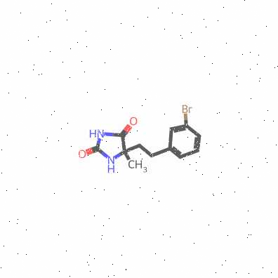 CC1(CCc2cccc(Br)c2)NC(=O)NC1=O